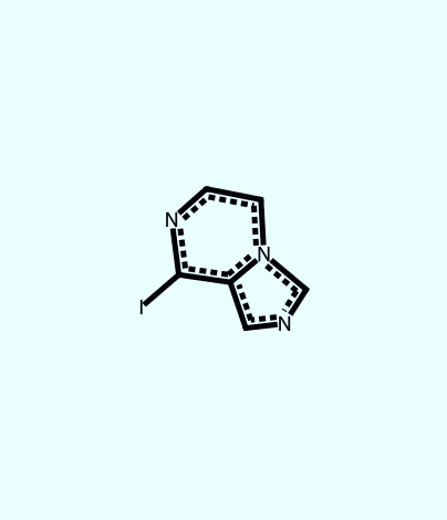 Ic1nccn2cncc12